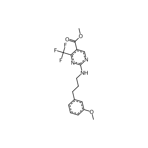 COC(=O)c1cnc(NCCCc2cccc(OC)c2)nc1C(F)(F)F